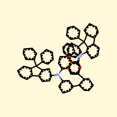 c1ccc(C2(c3ccccc3)c3ccccc3-c3ccc(N(c4cccc(-c5ccccc5-c5ccc6c7ccccc7n(-c7cccc8c7C(c7ccccc7)(c7ccccc7)c7ccccc7-8)c6c5)c4)c4cccc5ccccc45)cc32)cc1